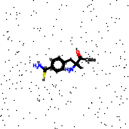 COC(=O)C(C)(N)Cc1ccc(C(N)=S)cc1